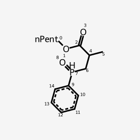 CCCCCOC(=O)C(C)C[PH](=O)c1ccccc1